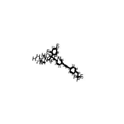 N/N=C\N(N)CC(O)(c1ccc(F)cc1F)C(F)(F)c1ccc(C#Cc2ccc(CC(F)(F)F)cc2)cn1